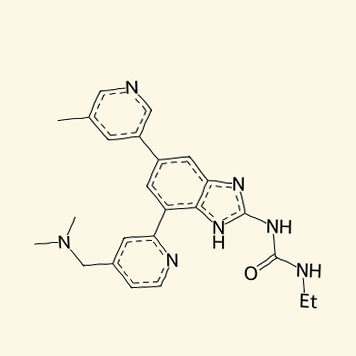 CCNC(=O)Nc1nc2cc(-c3cncc(C)c3)cc(-c3cc(CN(C)C)ccn3)c2[nH]1